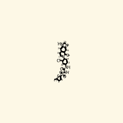 Cc1ccc(S(=O)(=O)NC(=O)Nc2ccc(-n3ccc4cc5[nH]cnc5cc4c3=O)c(Cl)c2)s1